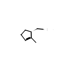 O=CC[C@@H]1CCC=C1Br